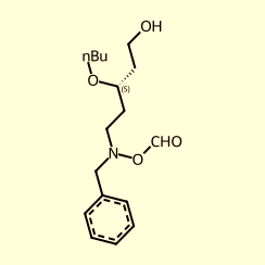 CCCCO[C@H](CCO)CCN(Cc1ccccc1)OC=O